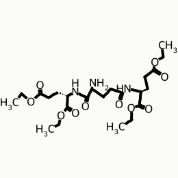 CCOC(=O)CC[C@H](NC(=O)CC[C@H](N)C(=O)N[C@@H](CCC(=O)OCC)C(=O)OCC)C(=O)OCC